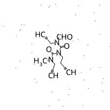 C#CCCN(C(=O)N(C)CC#C)C(=O)N(C=O)CC#C